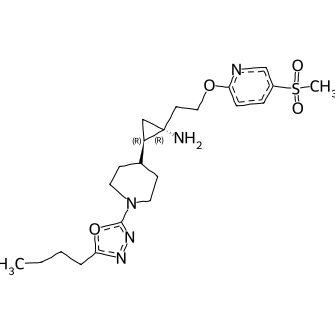 CCCCc1nnc(N2CCC([C@H]3C[C@@]3(N)CCOc3ccc(S(C)(=O)=O)cn3)CC2)o1